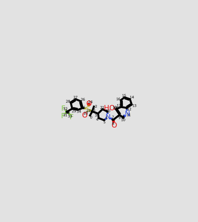 CC(C)(C1CCN(C(=O)c2cnc3ccccc3c2O)CC1)S(=O)(=O)c1cccc(C(F)(F)F)c1